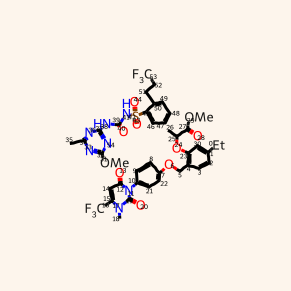 CCc1ccc(COc2ccc(-n3c(=O)cc(C(F)(F)F)n(C)c3=O)cc2)c(OC(C)C(=O)OC)c1.COc1nc(C)nc(NC(=O)NS(=O)(=O)c2ccccc2CCC(F)(F)F)n1